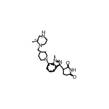 C[C@H]1CNCCN1CC1CCN(c2cccc3c(C4CCC(=O)NC4=O)nn(C)c23)CC1